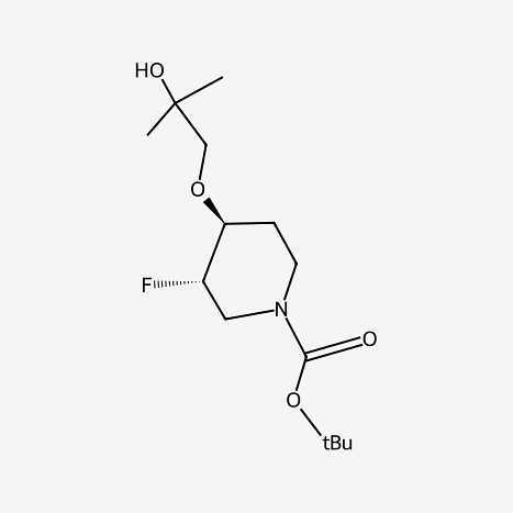 CC(C)(O)CO[C@H]1CCN(C(=O)OC(C)(C)C)C[C@@H]1F